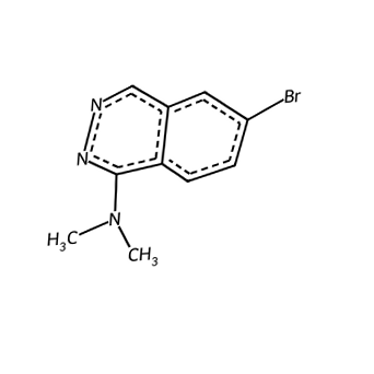 CN(C)c1nncc2cc(Br)ccc12